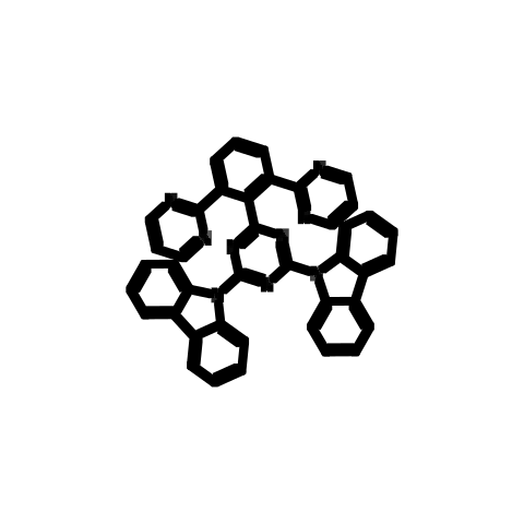 c1cnc(-c2cccc(-c3ncccn3)c2-c2nc(-n3c4ccccc4c4ccccc43)nc(-n3c4ccccc4c4ccccc43)n2)nc1